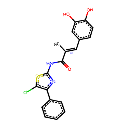 N#C/C(=C\c1ccc(O)c(O)c1)C(=O)Nc1nc(-c2ccccc2)c(Cl)s1